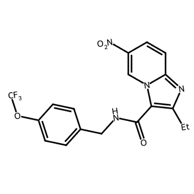 CCc1nc2ccc([N+](=O)[O-])cn2c1C(=O)NCc1ccc(OC(F)(F)F)cc1